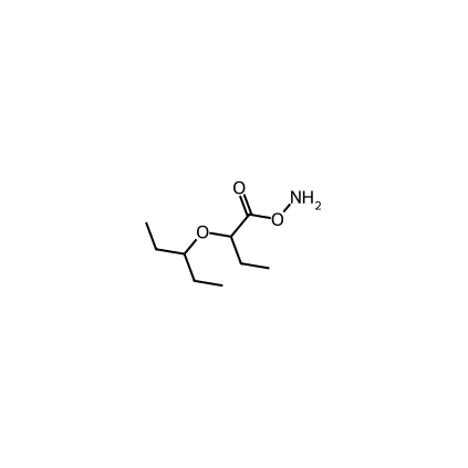 CCC(CC)OC(CC)C(=O)ON